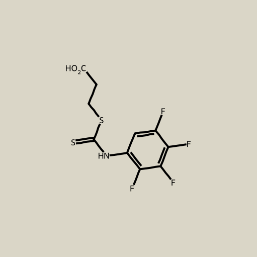 O=C(O)CCSC(=S)Nc1cc(F)c(F)c(F)c1F